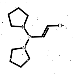 CC=CP(N1CCCC1)N1CCCC1